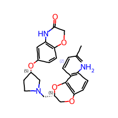 C=C(C)/C=C\c1c(N)ccc2c1O[C@@H](CN1CC[C@H](Oc3ccc4c(c3)NC(=O)CO4)C1)CO2